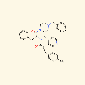 O=C([C@H](Cc1ccccc1)N(Cc1ccncc1)C(=O)C=Cc1ccc(C(F)(F)F)cc1)N1CCN(Cc2ccccc2)CC1